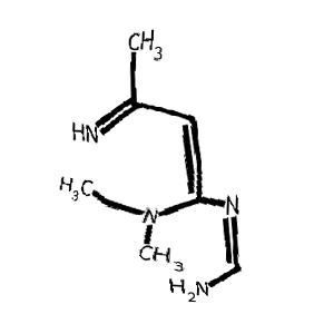 CC(=N)/C=C(/N=C\N)N(C)C